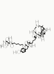 CC12CNCCNCC(NC(=O)CCCC(=O)NC(Cc3ccc(O)cc3)C(=O)NCCCCCC(=O)N[C@@H](CS)C(N)=O)(CNCCNC1)NCCN2